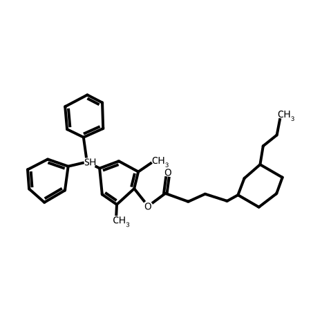 CCCC1CCCC(CCCC(=O)Oc2c(C)cc([SH](c3ccccc3)c3ccccc3)cc2C)C1